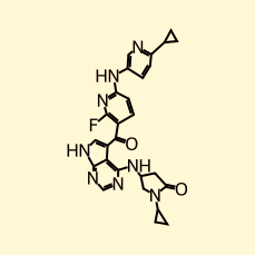 O=C(c1ccc(Nc2ccc(C3CC3)nc2)nc1F)c1c[nH]c2ncnc(NC3CC(=O)N(C4CC4)C3)c12